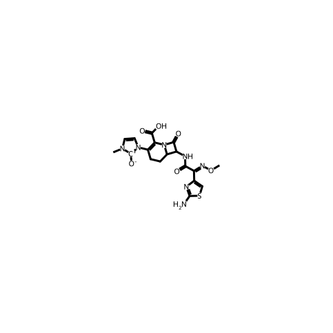 CON=C(C(=O)NC1C(=O)N2C(C(=O)O)=C(n3ccn(C)[c+]3[O-])CCC12)c1csc(N)n1